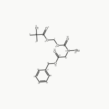 CCC(C)(C)C(=O)OCOC(=O)N(CC(=O)OCc1ccccc1)C(C)(C)C